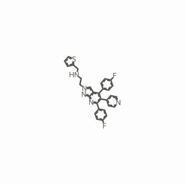 Fc1ccc(-c2nc3nn(CCNCc4cccs4)cc3c(-c3ccc(F)cc3)c2-c2ccncc2)cc1